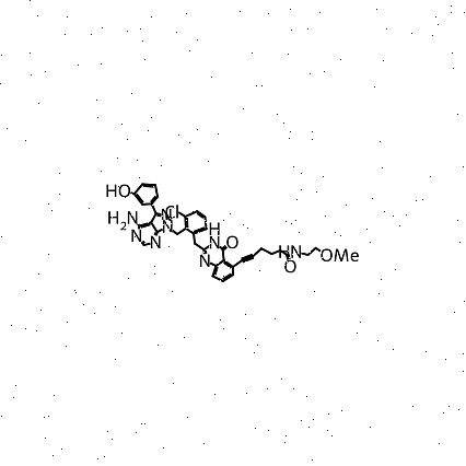 COCCNC(=O)CCCC#Cc1cccc2nc(Cc3cccc(Cl)c3Cn3nc(-c4cccc(O)c4)c4c(N)ncnc43)[nH]c(=O)c12